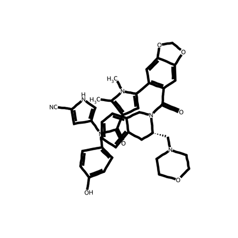 Cc1c(C(=O)N(c2ccc(O)cc2)c2c[nH]c(C#N)c2)cc(-c2cc3c(cc2C(=O)N2Cc4ccccc4C[C@H]2CN2CCOCC2)OCO3)n1C